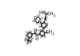 CC(=N)C#Cc1ncc(-c2cc(NC(=O)c3ccnc(C(F)(F)F)c3)ccc2C)cc1N1CCOCC1